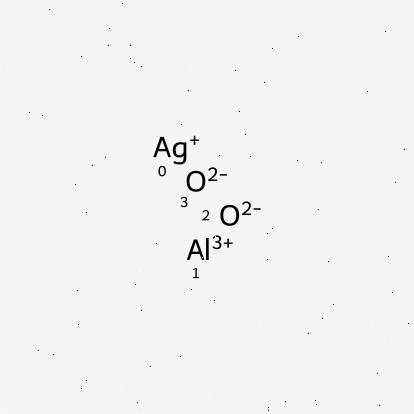 [Ag+].[Al+3].[O-2].[O-2]